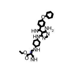 CCOC(=O)/C(C=N)=C/NC1CCC(Nc2ncnc(N)c2C(=N)c2ccc(Oc3ccccc3)cc2)CC1